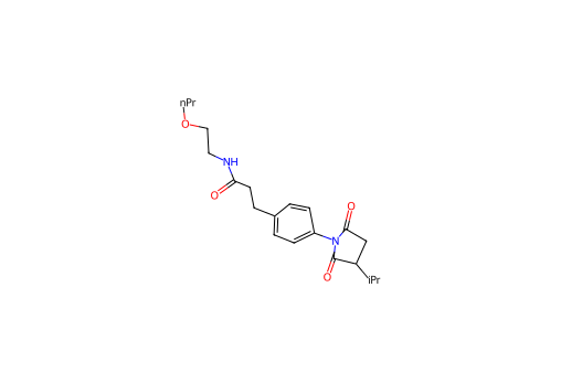 CCCOCCNC(=O)CCc1ccc(N2C(=O)CC(C(C)C)C2=O)cc1